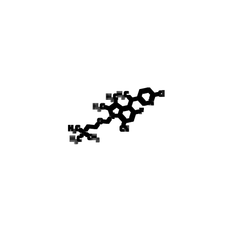 Cc1c(C)n(COCCS(C)(C)C)c2c(C#N)cc(F)c(C(C)c3ccc(Cl)nc3)c12